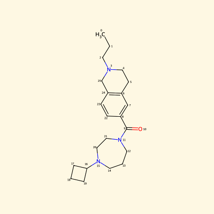 CCCN1CCc2cc(C(=O)N3CCCN(C4CCC4)CC3)ccc2C1